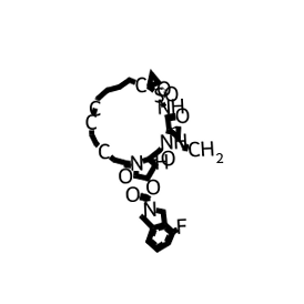 C=C[C@@H]1C[C@@]12NC(=O)[C@@H]1C[C@@H](OC(=O)N3Cc4cccc(F)c4C3)CN1C(=O)CCCCCCCCCCCC1(CC1)S(=O)(=O)NC2=O